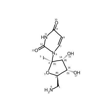 NC[C@H]1O[C@@](I)(n2ccc(=O)[nH]c2=O)[C@H](O)[C@@H]1O